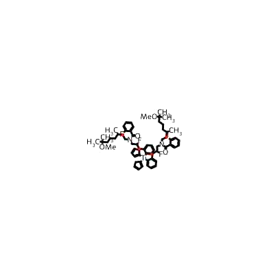 COC(C)(C)CCCC(C)CCN(CC(F)Cc1cccc[c]1[Ti]([C]1=CC=CC1)([C]1=CC=CC1)[c]1ccccc1CC(F)CN(CCC(C)CCCC(C)(C)OC)C(=O)c1ccccc1F)C(=O)c1ccccc1F